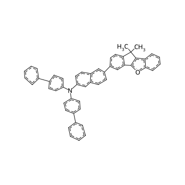 CC1(C)c2ccc(-c3ccc4cc(N(c5ccc(-c6ccccc6)cc5)c5ccc(-c6ccccc6)cc5)ccc4c3)cc2-c2oc3ccccc3c21